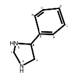 c1ccc(C2CNCN2)cc1